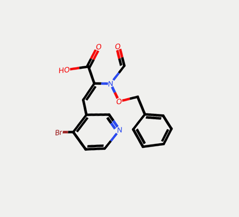 O=CN(OCc1ccccc1)/C(=C\c1cnccc1Br)C(=O)O